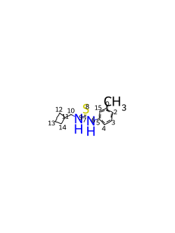 Cc1cccc(NC(=S)NCC2CCC2)c1